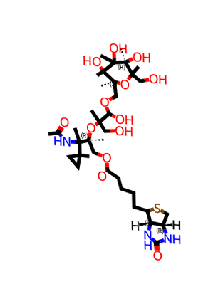 CC(=O)NC(C)(C1(C)CC1)[C@](C)(COC(=O)CCCCC1SC[C@@H]2NC(=O)N[C@H]12)OC(C)(CO)C(O)OC[C@]1(C)OC(C)(CO)[C@](C)(O)C(C)(O)C1(C)O